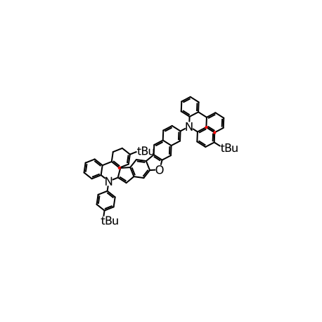 CC(C)(C)C1=CC=C(c2ccccc2N(C2=Cc3cc4oc5cc6cc(N(c7ccc(C(C)(C)C)cc7)c7ccccc7-c7ccccc7)ccc6cc5c4cc3C2)c2ccc(C(C)(C)C)cc2)CC1